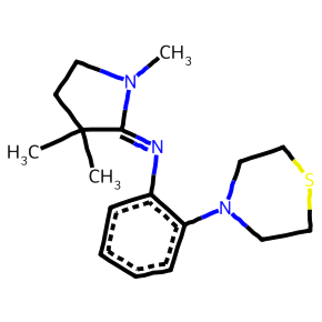 CN1CCC(C)(C)C1=Nc1ccccc1N1CCSCC1